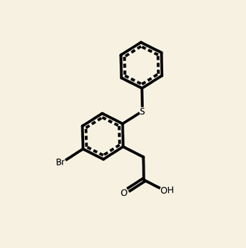 O=C(O)Cc1cc(Br)ccc1Sc1ccccc1